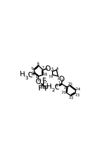 C=C(O[C@H]1C[C@@H](Oc2ccc(C)c(OC(F)(F)F)c2)C1)c1ccccc1